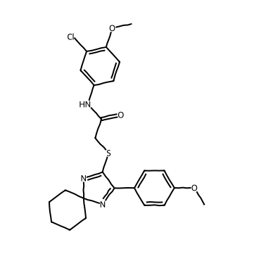 COc1ccc(C2=NC3(CCCCC3)N=C2SCC(=O)Nc2ccc(OC)c(Cl)c2)cc1